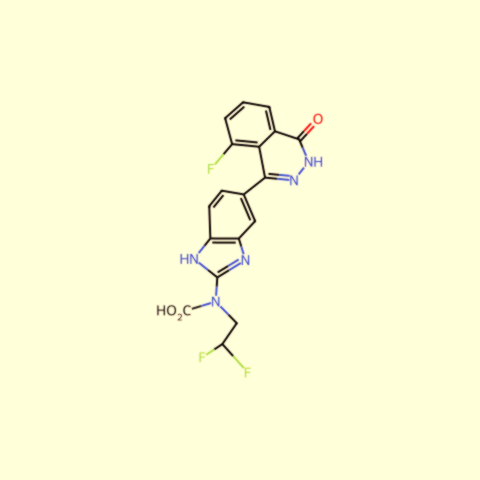 O=C(O)N(CC(F)F)c1nc2cc(-c3n[nH]c(=O)c4cccc(F)c34)ccc2[nH]1